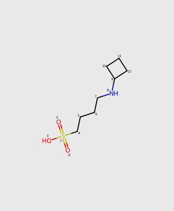 O=S(=O)(O)CCCCNC1CCC1